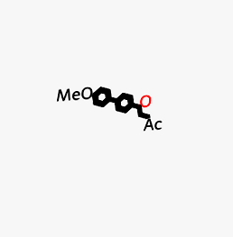 COc1ccc(-c2ccc(C(=O)CCC(C)=O)cc2)cc1